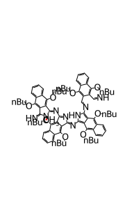 CCCCOc1c(C=N)c(/C=N/c2[nH]c(/N=C3N=C(/N=C4/c5c(c(OCCCC)c6ccccc6c5OCCCC)C(=N)N4C)c4c\3c(OCCCC)c3ccccc3c4OCCCC)c3c(OCCCC)c4ccccc4c(OCCCC)c23)c(OCCCC)c2ccccc12